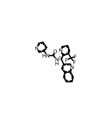 O=C(Nc1cccnc1)N[C@@H](c1cnc2ccccc2c1)c1ncccc1C(F)(F)F